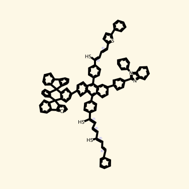 SC(=C\C=C\c1ccccc1)/C=C/C=C(\S)c1ccc(-c2c3ccc(-c4ccc(-c5nc6ccccc6n5-c5ccccc5)cc4)cc3c(-c3ccc(/C(S)=C/C=C/c4ccc(-c5ccccc5)s4)cc3)c3ccc(-c4ccc5c(c4)C4(c6ccccc6-c6ccccc64)c4ccccc4C54c5ccccc5-c5ccccc54)cc23)cc1